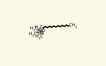 CCCCCCCCCCCCCC(C)O[Si](CC)(OCC)OCC